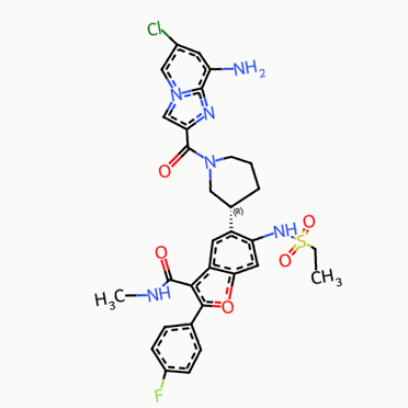 CCS(=O)(=O)Nc1cc2oc(-c3ccc(F)cc3)c(C(=O)NC)c2cc1[C@H]1CCCN(C(=O)c2cn3cc(Cl)cc(N)c3n2)C1